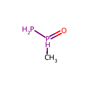 C[PH](=O)P